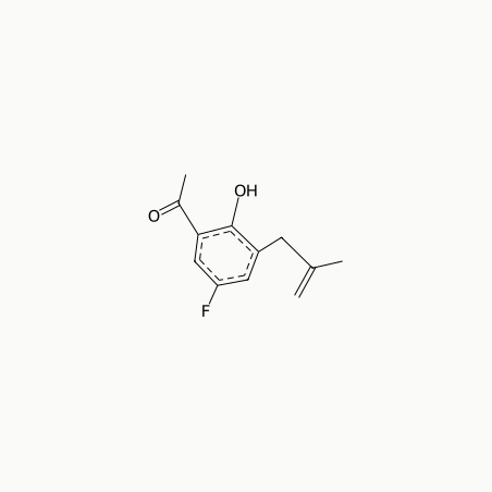 C=C(C)Cc1cc(F)cc(C(C)=O)c1O